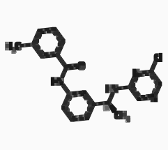 Cc1cccc(C(=O)Nc2cccc([C@H](C)Nc3cncc(Cl)n3)c2)c1